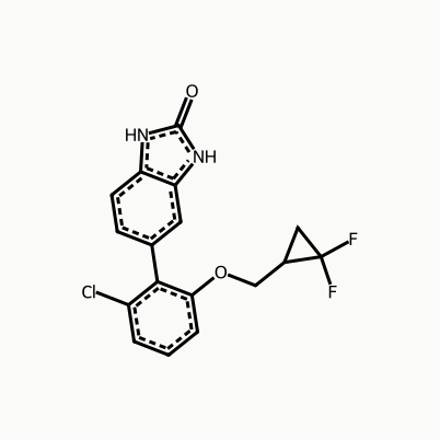 O=c1[nH]c2ccc(-c3c(Cl)cccc3OCC3CC3(F)F)cc2[nH]1